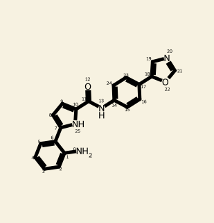 Nc1ccccc1-c1ccc(C(=O)Nc2ccc(-c3cnco3)cc2)[nH]1